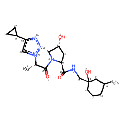 CC(C)(C)[C@@H](C(=O)N1C[C@H](O)C[C@H]1C(=O)NCC1(O)CCCC(C(F)(F)F)C1)n1cc(C2CC2)nn1